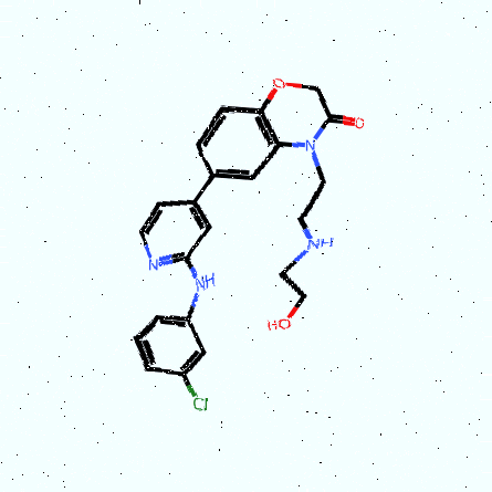 O=C1COc2ccc(-c3ccnc(Nc4cccc(Cl)c4)c3)cc2N1CCNCCO